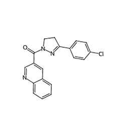 O=C(c1cnc2ccccc2c1)N1CCC(c2ccc(Cl)cc2)=N1